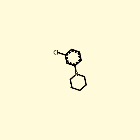 Clc1cccc(N2C[CH]CCC2)c1